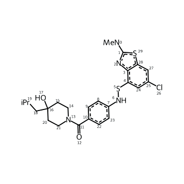 CNc1nc2c(SNc3ccc(C(=O)N4CCC(O)(CC(C)C)CC4)cc3)cc(Cl)cc2s1